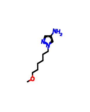 COCCCCCCn1cc(N)cn1